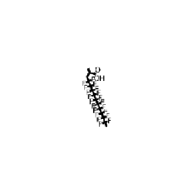 C=C(CC(F)(F)C(F)(F)C(F)(F)C(F)(F)C(F)(F)C(F)(F)C(F)(F)C(F)(F)C(F)(F)C(C)(F)F)C(=O)O